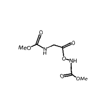 COC(=O)NCC(=O)ONC(=O)OC